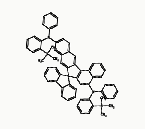 CS(C)(C)c1ccccc1N(c1ccccc1)c1ccc2cc3c(cc2c1)C1(c2ccccc2-c2ccccc21)c1cc(N(c2ccccc2)c2ccccc2S(C)(C)C)c2ccccc2c1-3